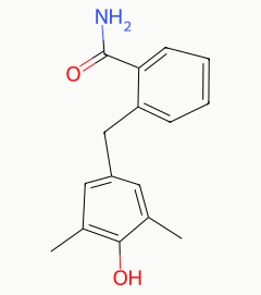 Cc1cc(Cc2ccccc2C(N)=O)cc(C)c1O